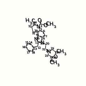 COC(=O)N1c2ccc3c(nc(Cc4ccccc4)n3CCN3C[C@H](C)O[C@@H](C)C3)c2CC[C@@H]1C